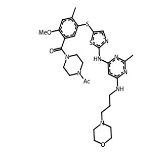 COc1cc(C)c(Sc2cnc(Nc3cc(NCCCN4CCOCC4)nc(C)n3)s2)cc1C(=O)N1CCN(C(C)=O)CC1